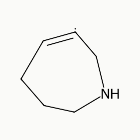 [C]1=CCCCNC1